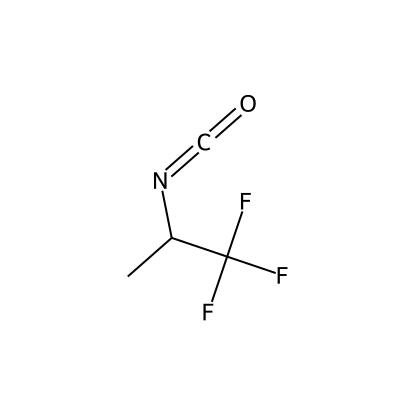 CC(N=C=O)C(F)(F)F